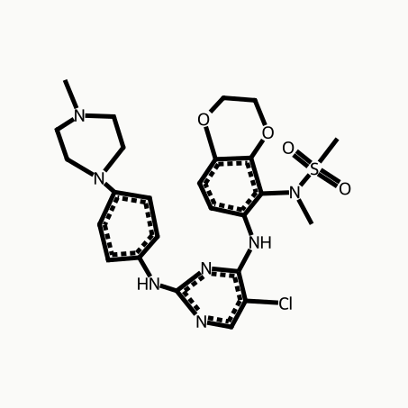 CN1CCN(c2ccc(Nc3ncc(Cl)c(Nc4ccc5c(c4N(C)S(C)(=O)=O)OCCO5)n3)cc2)CC1